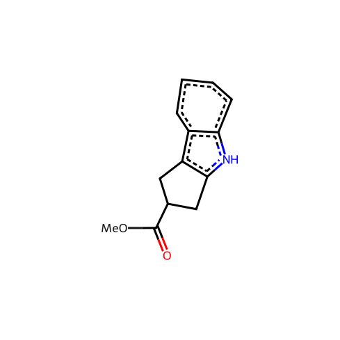 COC(=O)C1Cc2[nH]c3ccccc3c2C1